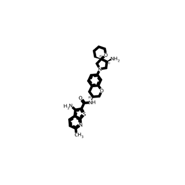 Cc1ccc2c(N)c(C(=O)N[C@H]3COc4cc(N5C[C@H](N)[C@]6(CCCCO6)C5)ccc4C3)sc2n1